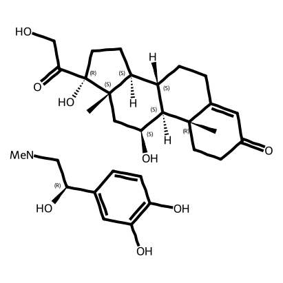 CNC[C@H](O)c1ccc(O)c(O)c1.C[C@]12CCC(=O)C=C1CC[C@@H]1[C@@H]2[C@@H](O)C[C@@]2(C)[C@H]1CC[C@]2(O)C(=O)CO